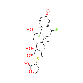 C[C@@H]1CC2[C@@H]3C[C@H](F)C4=CC(=O)C=C[C@]4(C)C3(F)[C@@H](O)C[C@]2(C)[C@@]1(O)C(=O)S[C@@H]1CCOC1=O